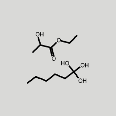 CCCCCC(O)(O)O.CCOC(=O)C(C)O